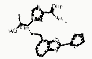 C[C@H](O)[C@@H](CCc1cccc2nc(-c3cccs3)oc12)n1cnc(C(N)=O)c1.Cl